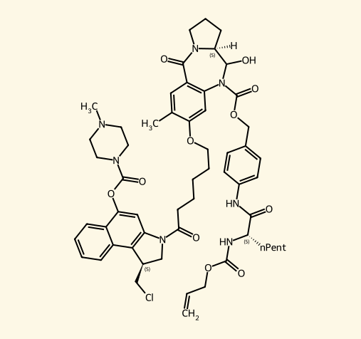 C=CCOC(=O)N[C@@H](CCCCC)C(=O)Nc1ccc(COC(=O)N2c3cc(OCCCCCC(=O)N4C[C@@H](CCl)c5c4cc(OC(=O)N4CCN(C)CC4)c4ccccc54)c(C)cc3C(=O)N3CCC[C@H]3C2O)cc1